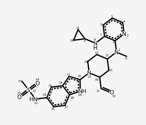 CN(c1ncccc1NC1CC1)C1CCN(c2cc3cc(NS(C)(=O)=O)ccc3[nH]2)C(C=O)C1